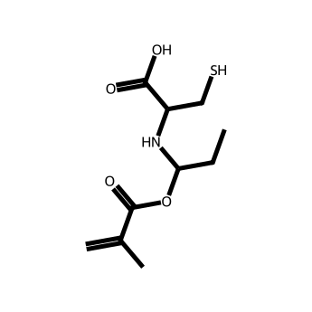 C=C(C)C(=O)OC(CC)NC(CS)C(=O)O